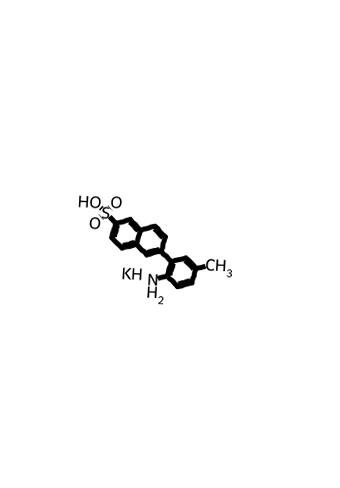 Cc1ccc(N)c(-c2ccc3cc(S(=O)(=O)O)ccc3c2)c1.[KH]